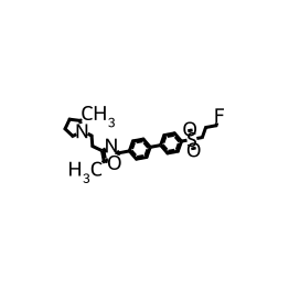 Cc1oc(-c2ccc(-c3ccc(S(=O)(=O)CCCF)cc3)cc2)nc1CCN1CCC[C@H]1C